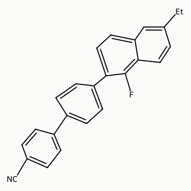 CCc1ccc2c(F)c(-c3ccc(-c4ccc(C#N)cc4)cc3)ccc2c1